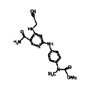 C#CCNc1nc(Nc2ccc(N(C)C(=O)OC)cc2)ncc1C(N)=O